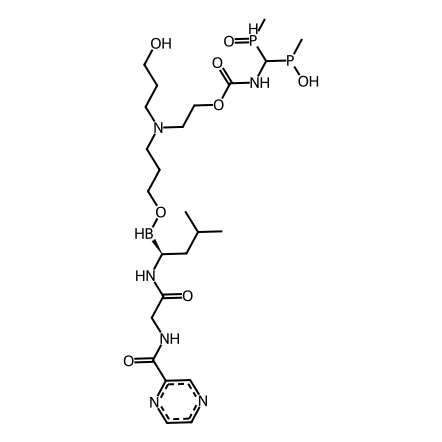 CC(C)C[C@H](BOCCCN(CCCO)CCOC(=O)NC(P(C)O)[PH](C)=O)NC(=O)CNC(=O)c1cnccn1